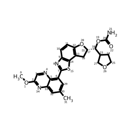 COc1cnc2c(-c3nc4ccc5c(c4s3)C[C@@H](C(OC(N)=O)C3CCOC3)O5)cc(C)cc2n1